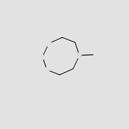 CN1CC[O][Sn][O]CC1